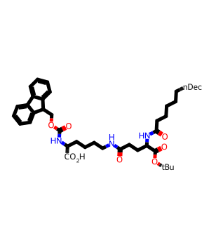 CCCCCCCCCCCCCCCC(=O)NC(CCC(=O)NCCCCC(NC(=O)OCC1c2ccccc2-c2ccccc21)C(=O)O)C(=O)OC(C)(C)C